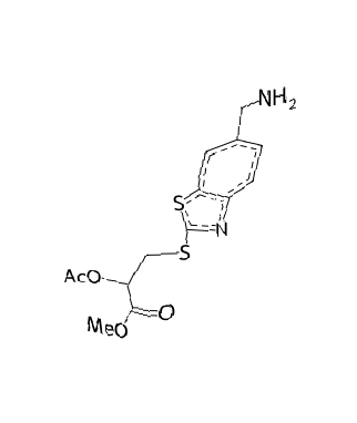 COC(=O)C(CSc1nc2ccc(CN)cc2s1)OC(C)=O